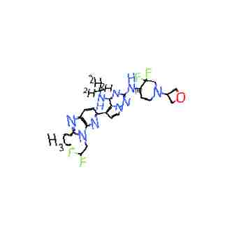 [2H]C([2H])([2H])Nc1nc(N[C@@H]2CCN(C3COC3)CC2(F)F)nn2ccc(-c3ccc4nc(C)n(CC(F)F)c4n3)c12